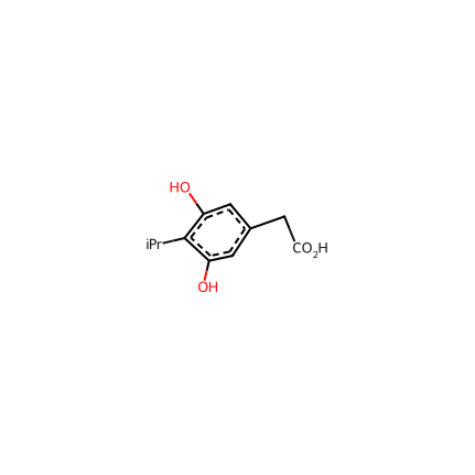 CC(C)c1c(O)cc(CC(=O)O)cc1O